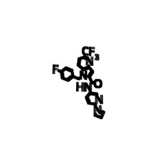 O=C(Nc1ccc(N2CCC2)nc1)c1cc2nc(C(F)(F)F)ccc2n1Cc1ccc(F)cc1